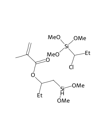 C=C(C)C(=O)OC(CC)C[SiH](OC)OC.CCC(Cl)[Si](OC)(OC)OC